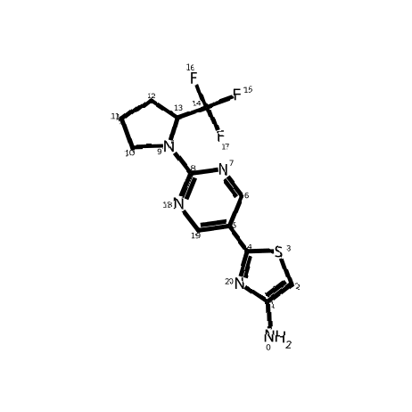 Nc1csc(-c2cnc(N3CCCC3C(F)(F)F)nc2)n1